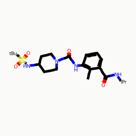 Cc1c(NC(=O)N2CCC(NS(=O)(=O)C(C)(C)C)CC2)cccc1C(=O)NC(C)C